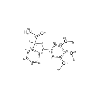 COc1cc(CCC(C)(C(N)=O)c2ccccc2)cc(OC)c1OC